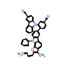 C=C/C=C\c1oc2c(ccc3c4cc(-c5ccc(C#N)cc5-n5c6ccccc6c6cc(C#N)ccc65)ccc4n(-c4ccccc4)c32)c1C